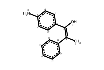 CC(=C(O)c1ccc(N)cc1)c1ccccc1